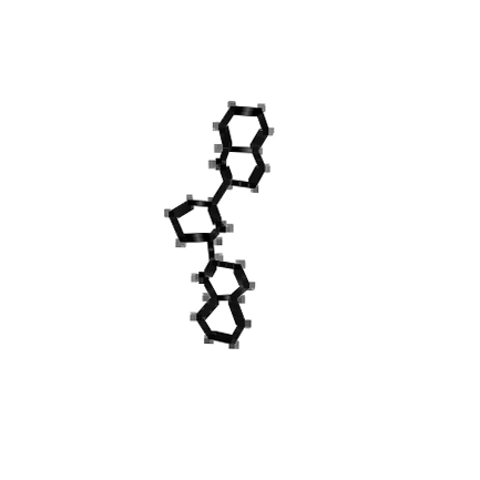 c1cc(-c2ccc3ccccc3n2)nc(-c2ccc3ccccc3n2)c1